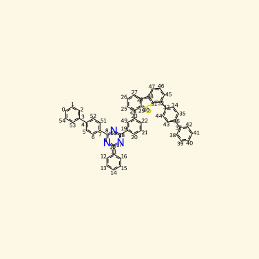 c1ccc(-c2ccc(-c3nc(-c4ccccc4)nc(-c4cccc(-c5cccc6c5sc5c(-c7ccc(-c8ccccc8)cc7)cccc56)c4)n3)cc2)cc1